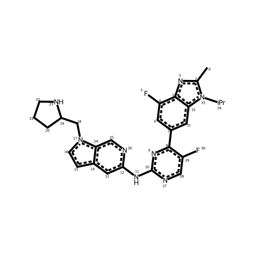 Cc1nc2c(F)cc(-c3nc(Nc4cc5ccn(CC6CCCN6)c5cn4)ncc3F)cc2n1C(C)C